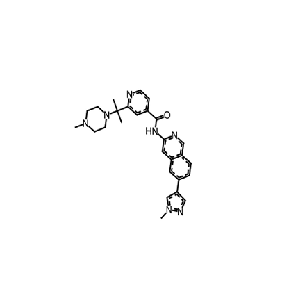 CN1CCN(C(C)(C)c2cc(C(=O)Nc3cc4cc(-c5cnn(C)c5)ccc4cn3)ccn2)CC1